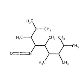 CC(C)C(C)C(C)C(C)C(N=C=O)C(C)C(C)C